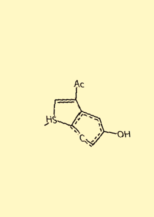 CC(=O)C1=C[SH](C)c2ccc(O)cc21